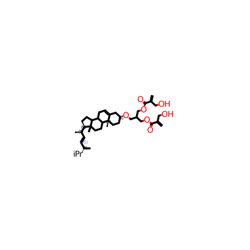 C=C(CO)C(=O)OCC(COC(=O)C(=C)CO)CO[C@H]1CC[C@@]2(C)C(=CCC3C4CC[C@H]([C@H](C)/C=C/[C@H](C)C(C)C)C4(C)CCC32)C1